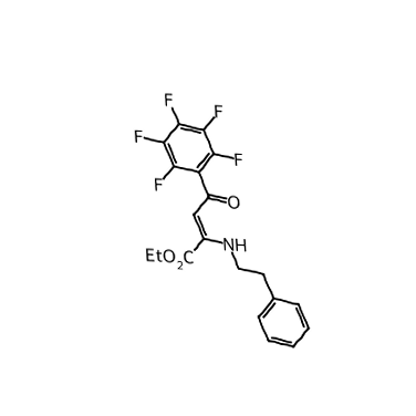 CCOC(=O)C(=CC(=O)c1c(F)c(F)c(F)c(F)c1F)NCCc1ccccc1